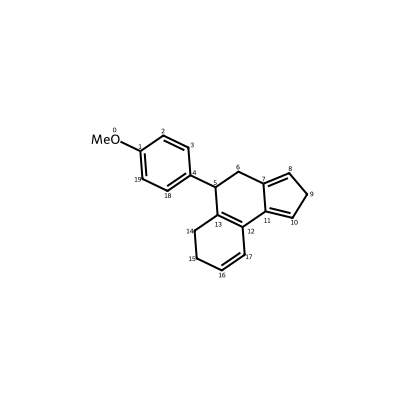 COc1ccc(C2CC3=CCC=C3C3=C2CCC=C3)cc1